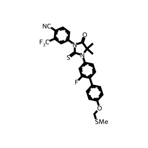 CSCOc1ccc(-c2ccc(N3C(=S)N(c4ccc(C#N)c(C(F)(F)F)c4)C(=O)C3(C)C)cc2F)cc1